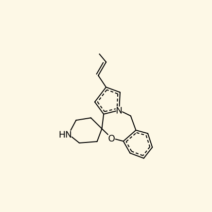 CC=Cc1cc2n(c1)Cc1ccccc1OC21CCNCC1